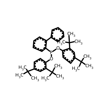 CC(C)(C)c1ccc(OP(Oc2ccc(C(C)(C)C)cc2C(C)(C)C)c2ccccc2-c2ccccc2)c(C(C)(C)C)c1